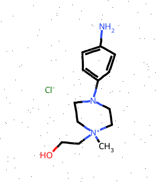 C[N+]1(CCO)CCN(c2ccc(N)cc2)CC1.[Cl-]